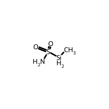 C[SiH2]S(N)(=O)=O